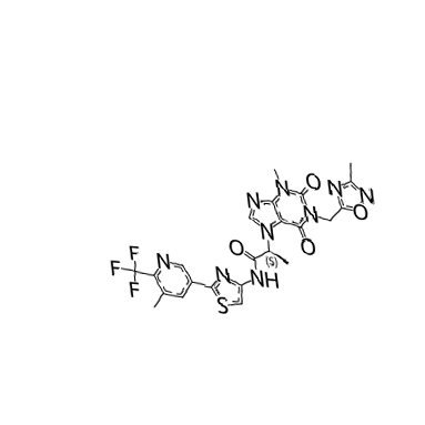 Cc1noc(Cn2c(=O)c3c(ncn3[C@@H](C)C(=O)Nc3csc(-c4cnc(C(F)(F)F)c(C)c4)n3)n(C)c2=O)n1